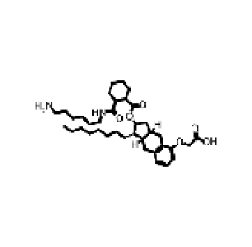 CCCCCCCC[C@H]1C(OC(=O)C2CCCCC2C(=O)NCCCCCCN)C[C@@H]2Cc3c(cccc3OCC(=O)O)C[C@@H]21